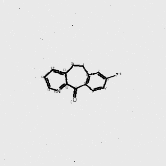 O=C1c2ccc(F)cc2CCc2cccnc21